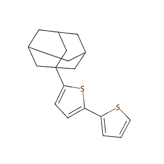 c1csc(-c2ccc(C34CC5CC(CC(C5)C3)C4)s2)c1